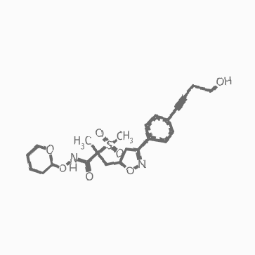 CC(CC1CC(c2ccc(C#CCCO)cc2)=NO1)(C(=O)NOC1CCCCO1)S(C)(=O)=O